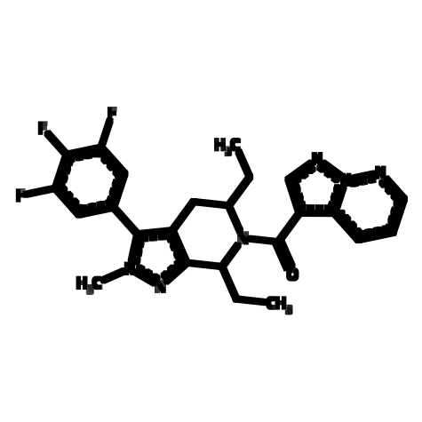 CCC1Cc2c(nn(C)c2-c2cc(F)c(F)c(F)c2)C(CC)N1C(=O)c1cnn2ncccc12